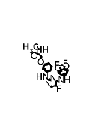 CNC(=O)COc1cccc(Nc2ncc(F)c(Nc3cc4c(F)c(F)c3OCO4)n2)c1